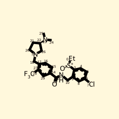 CC[S+]([O-])c1ccc(Cl)cc1CNC(=O)c1ccc(CN2CC[C@@H](N(C)C)C2)c(C(F)(F)F)c1